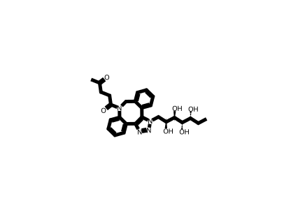 CC[C@@H](O)[C@H](O)[C@H](O)[C@@H](O)Cn1nnc2c1-c1ccccc1CN(C(=O)CCC(C)=O)c1ccccc1-2